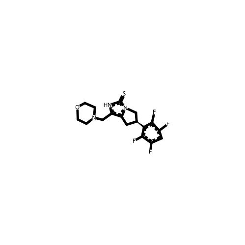 Fc1cc(F)c(F)c([C@H]2Cc3c(CN4CCOCC4)[nH]c(=S)n3C2)c1F